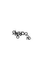 CC1CN(C(=O)c2cc3cc(OCCC4CCCN4C)ccc3[nH]2)CC(C)O1